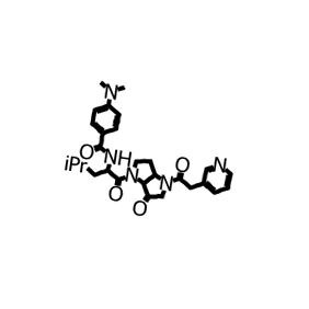 CC(C)CC(NC(=O)c1ccc(N(C)C)cc1)C(=O)N1CCC2C1C(=O)CN2C(=O)Cc1cccnc1